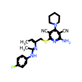 C/C=C(CSc1nc(N)c(C#N)c(N2CCCCC2)c1C#N)\N=C(/C)Nc1ccc(F)cc1